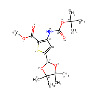 COC(=O)c1sc(B2OC(C)(C)C(C)(C)O2)cc1NC(=O)OC(C)(C)C